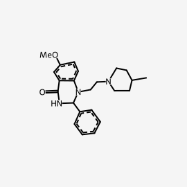 COc1ccc2c(c1)C(=O)NC(c1ccccc1)N2CCN1CCC(C)CC1